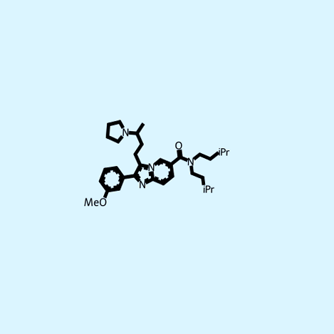 COc1cccc(-c2nc3ccc(C(=O)N(CCC(C)C)CCC(C)C)cn3c2CCC(C)N2CCCC2)c1